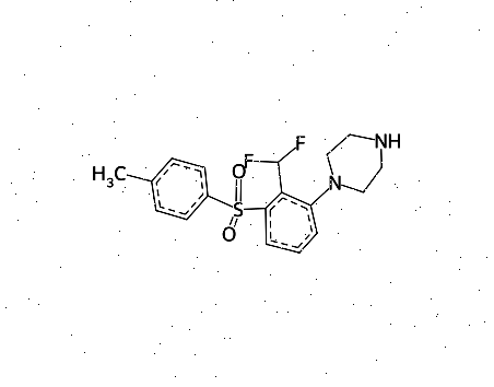 Cc1ccc(S(=O)(=O)c2cccc(N3CCNCC3)c2C(F)F)cc1